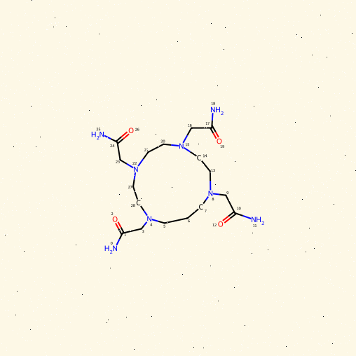 NC(=O)CN1CCCN(CC(N)=O)CCN(CC(N)=O)CCN(CC(N)=O)CC1